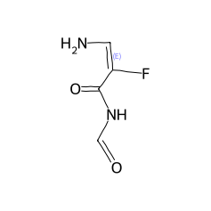 N/C=C(/F)C(=O)NC=O